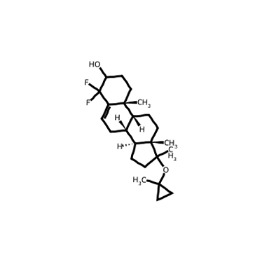 CC1(OC2(C)CC[C@H]3[C@@H]4CC=C5C(F)(F)C(O)CC[C@]5(C)[C@@H]4CC[C@@]32C)CC1